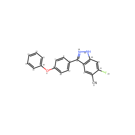 N#Cc1cc2c(-c3ccc(Oc4ccccc4)cc3)n[nH]c2cc1F